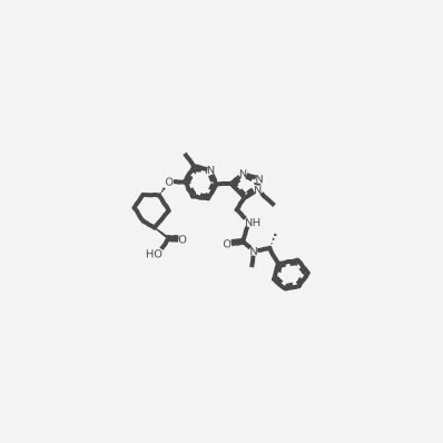 Cc1nc(-c2nnn(C)c2CNC(=O)N(C)[C@H](C)c2ccccc2)ccc1O[C@H]1CCC[C@H](C(=O)O)C1